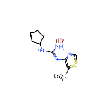 Br.CCOC(=O)c1scnc1/N=C(\N)NC1CCCC1